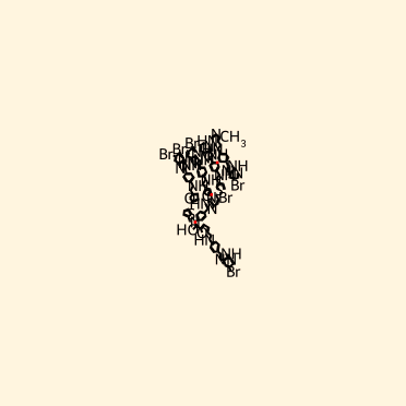 Brc1cnc2[nH]c(-c3ccc(NCc4ccco4)cc3)nc2c1.Brc1cnc2[nH]c(-c3ccc(NCc4ccoc4)cc3)nc2c1.Brc1cnc2[nH]c(-c3ccc(NCc4ccsc4)cc3)nc2c1.Cc1nc[nH]c1CNc1ccc(-c2nc3cc(Br)cnc3[nH]2)cc1.OC(c1ccc(CNc2ccc(-c3nc4cc(Br)cnc4[nH]3)cc2)o1)N(Cc1cccs1)c1ccc(-c2nc3cc(Br)cnc3[nH]2)cc1